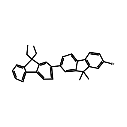 CCC1(CC)c2ccccc2-c2ccc(-c3ccc4c(c3)C(C)(C)c3cc(Br)ccc3-4)cc21